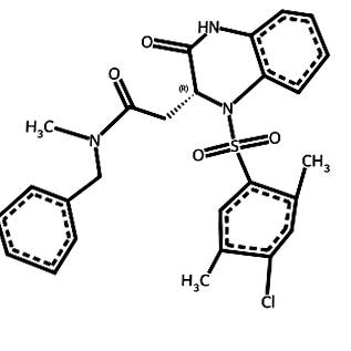 Cc1cc(S(=O)(=O)N2c3ccccc3NC(=O)[C@H]2CC(=O)N(C)Cc2ccccc2)c(C)cc1Cl